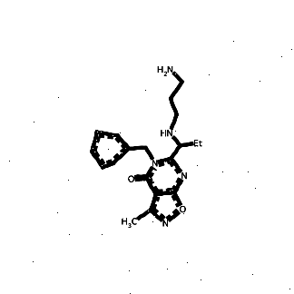 CCC(NCCCN)c1nc2onc(C)c2c(=O)n1Cc1ccccc1